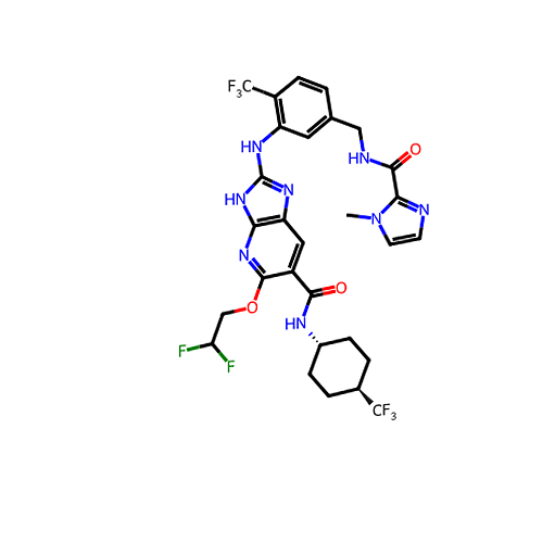 Cn1ccnc1C(=O)NCc1ccc(C(F)(F)F)c(Nc2nc3cc(C(=O)N[C@H]4CC[C@H](C(F)(F)F)CC4)c(OCC(F)F)nc3[nH]2)c1